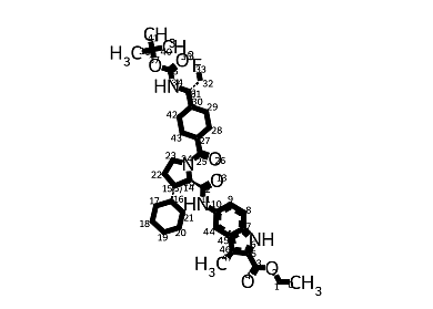 CCOC(=O)c1[nH]c2ccc(NC(=O)[C@H]3[C@H](C4CCCCC4)CCN3C(=O)C3CCC([C@@H](CF)NC(=O)OC(C)(C)C)CC3)cc2c1C